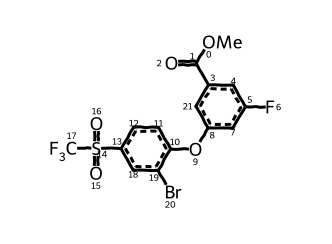 COC(=O)c1cc(F)cc(Oc2ccc(S(=O)(=O)C(F)(F)F)cc2Br)c1